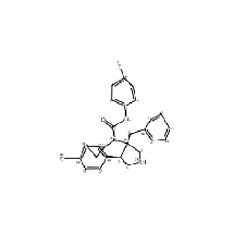 O=C(Oc1ccc(F)cc1)N(C1CC1)[C@]1(Cc2ccccc2)CNC[C@H]1c1ccc(Cl)cc1